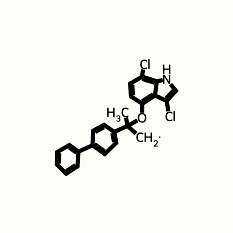 [CH2]C(C)(Oc1ccc(Cl)c2[nH]cc(Cl)c12)c1ccc(-c2ccccc2)cc1